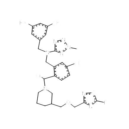 CCc1nc(COCC2CCCN(C(CC)c3ccc(C(F)(F)F)cc3CN(Cc3cc(C(F)(F)F)cc(C(F)(F)F)c3)c3nnn(C)n3)C2)no1